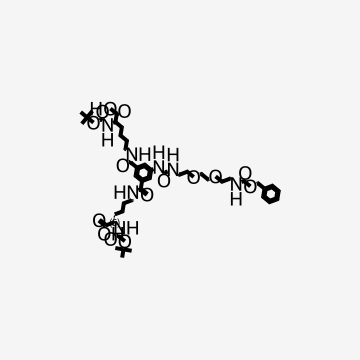 CC(C)(C)OC(=O)NC(CCCCNC(=O)c1cc(NC(=O)NCCOCCOCCNC(=O)OCc2ccccc2)cc(C(=O)NCCCC[C@H](NC(=O)OC(C)(C)C)C(=O)O)c1)C(=O)O